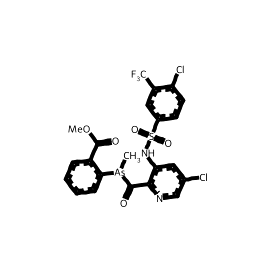 COC(=O)c1ccccc1[As](C)C(=O)c1ncc(Cl)cc1NS(=O)(=O)c1ccc(Cl)c(C(F)(F)F)c1